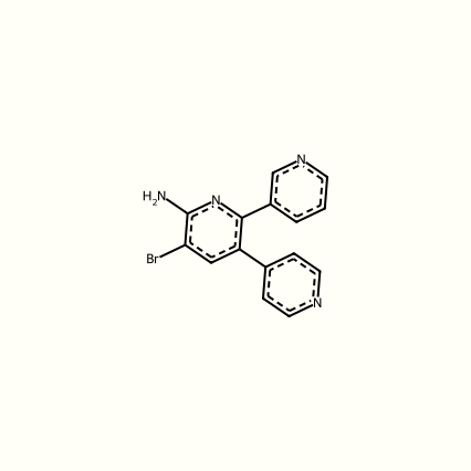 Nc1nc(-c2cccnc2)c(-c2ccncc2)cc1Br